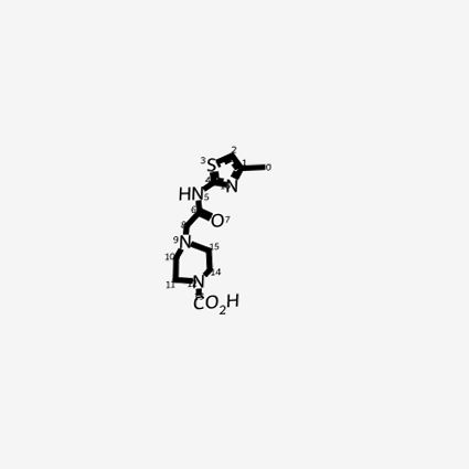 Cc1csc(NC(=O)CN2CCN(C(=O)O)CC2)n1